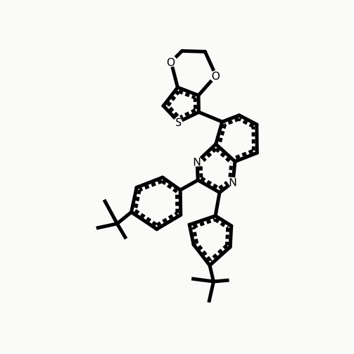 CC(C)(C)c1ccc(-c2nc3cccc(-c4scc5c4OCCO5)c3nc2-c2ccc(C(C)(C)C)cc2)cc1